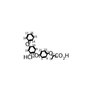 CC(Oc1ccc(Oc2ccc(Oc3ccccc3)cc2)cc1)C(=O)O.Cl